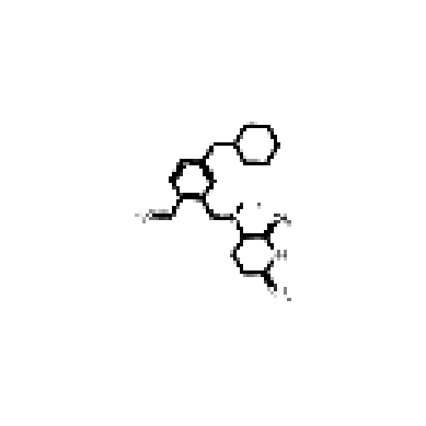 C=Cc1ccc(CC2CCCCC2)cc1CN(C)C1CCC(=C)NC1=C